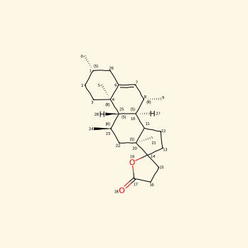 C[C@H]1CC[C@@]2(C)C(=C[C@H](C)[C@H]3C4CCC5(CCC(=O)O5)[C@@]4(C)C[C@@H](C)[C@@H]32)C1